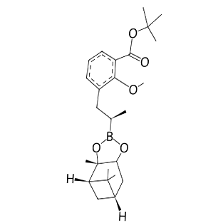 COc1c(C[C@@H](C)B2OC3C[C@@H]4C[C@@H](C4(C)C)[C@]3(C)O2)cccc1C(=O)OC(C)(C)C